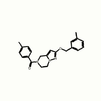 Cc1ccc(C(=O)N2CCn3nc(OCc4cccc(C)c4)cc3C2)cc1